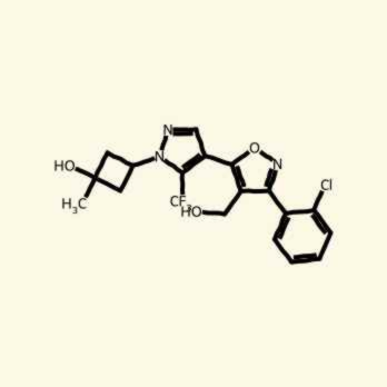 CC1(O)CC(n2ncc(-c3onc(-c4ccccc4Cl)c3CO)c2C(F)(F)F)C1